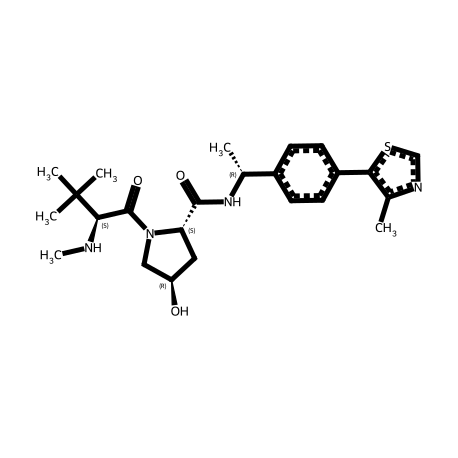 CN[C@H](C(=O)N1C[C@H](O)C[C@H]1C(=O)N[C@H](C)c1ccc(-c2scnc2C)cc1)C(C)(C)C